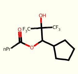 CCCC(=O)OC(C1CCCC1)C(O)(C(F)(F)F)C(F)(F)F